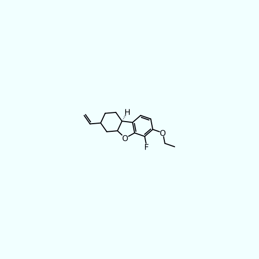 C=CC1CC[C@H]2c3ccc(OCC)c(F)c3OC2C1